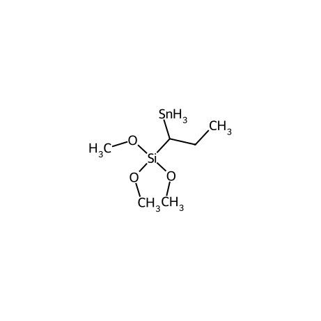 CC[CH]([SnH3])[Si](OC)(OC)OC